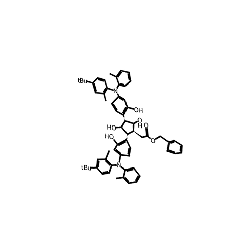 Cc1ccccc1N(c1ccc([C@@H]2C(O)[C@@H](CC(=O)OCc3ccccc3)[C@H](c3ccc(N(c4ccccc4C)c4ccc(C(C)(C)C)cc4C)cc3O)C2O)c(O)c1)c1ccc(C(C)(C)C)cc1C